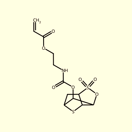 C=CC(=O)OCCNC(=O)OC1C2CC3C(S2)C1OS3(=O)=O